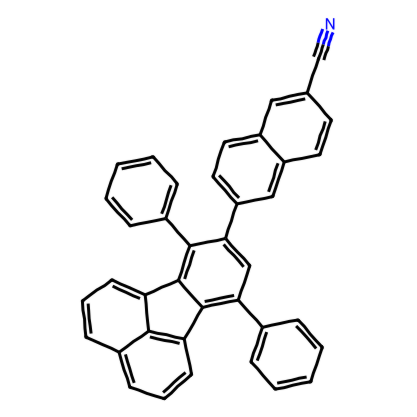 N#Cc1ccc2cc(-c3cc(-c4ccccc4)c4c(c3-c3ccccc3)-c3cccc5cccc-4c35)ccc2c1